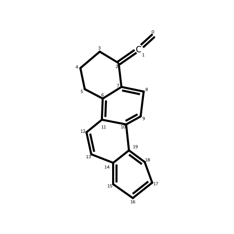 C=C=C1CCCc2c1ccc1c2ccc2ccccc21